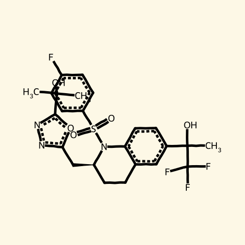 CC(C)(O)c1nnc(C[C@@H]2CCc3cc(C(C)(O)C(F)(F)F)ccc3N2S(=O)(=O)c2ccc(F)cc2)o1